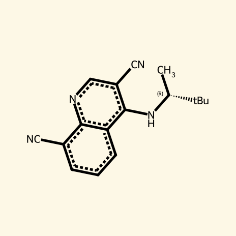 C[C@@H](Nc1c(C#N)cnc2c(C#N)cccc12)C(C)(C)C